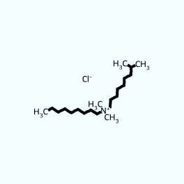 CCCCCCCCC[N+](C)(C)CCCCCCCC(C)C.[Cl-]